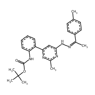 C/C(=N/Nc1cc(-c2ccccc2NC(=O)OC(C)(C)C)nc(C)n1)c1ccc(C)cc1